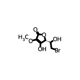 COC1=C(O)[C@@H](C(O)CBr)OC1=O